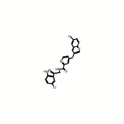 O=C(NCc1n[nH]c2ccc(Cl)cc12)c1cc(Cc2cnc3ccc(Cl)cc3c2)ccn1